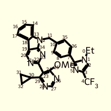 CCn1cc(C(F)(F)F)nc1-c1ccc(Cn2c3ccccc3c3cnc(-c4c(OC)ncnc4C4CC4)nc32)cc1